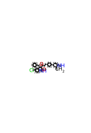 C=C1C=C(c2ccc(/C=C/C(=O)c3c(Cc4ccccc4)c4cc(Cl)ccc4[nH]c3=O)cc2)C=CC1=N